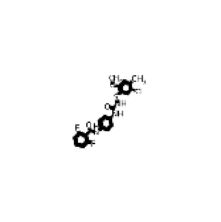 COc1cc(C)c(Cl)cc1SNC(=O)Nc1ccc(NC(=O)c2c(F)cccc2F)cc1